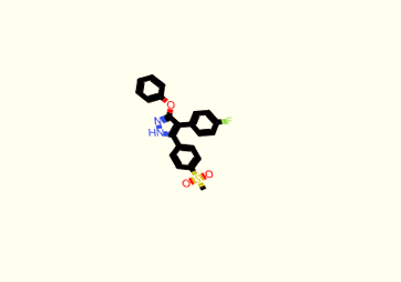 CS(=O)(=O)c1ccc(-c2[nH]nc(Oc3ccccc3)c2-c2ccc(F)cc2)cc1